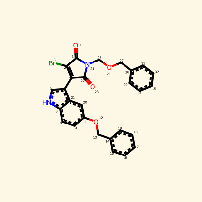 O=C1C(Br)=C(c2c[nH]c3ccc(OCc4ccccc4)cc23)C(=O)N1COCc1ccccc1